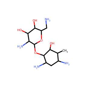 CC1C(N)CC(N)C(OC2OC(CN)C(O)C(O)C2N)C1O